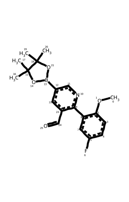 COc1ccc(F)cc1-c1ncc(B2OC(C)(C)C(C)(C)O2)cc1C=O